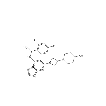 C[C@@H](Nc1cc(N2CC(N3CCN(C#N)CC3)C2)nc2ncnn12)c1ccc(Cl)cc1Cl